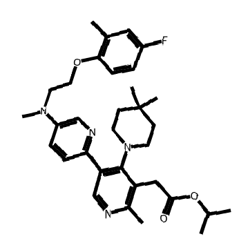 Cc1cc(F)ccc1OCCN(C)c1ccc(-c2cnc(C)c(CC(=O)OC(C)C)c2N2CCC(C)(C)CC2)nc1